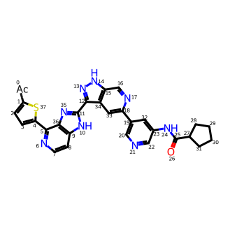 CC(=O)c1ccc(-c2nccc3[nH]c(-c4n[nH]c5cnc(-c6cncc(NC(=O)C7CCCC7)c6)cc45)nc23)s1